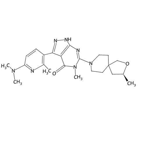 Cc1nc(N(C)C)ccc1-c1n[nH]c2nc(N3CCC4(CC3)CO[C@@H](C)C4)n(C)c(=O)c12